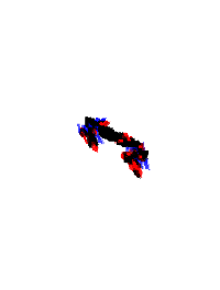 COC(=O)NC(C(=O)N1CCCC1c1ncc(-c2ccc3c(c2)COc2c-3ccc3cc(-c4cnc(C5CCCN5C(=O)C(NC(=O)OC)C5CCOCC5)[nH]4)ccc23)[nH]1)C1CCOCC1